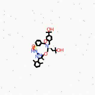 Cc1cccc(C)c1-c1nc2nc(c1C)OC[C@@H](CCC(C)(C)O)N(Cc1ccc(C(C)(C)O)cc1)C(=O)c1cccc(c1)S(=O)(=O)N2